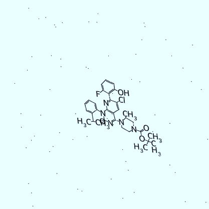 CC(C)c1ccccc1-n1c(=O)nc(N2CCN(C(=O)OC(C)(C)C)C[C@@H]2C)c2cc(Cl)c(-c3c(O)cccc3F)nc21